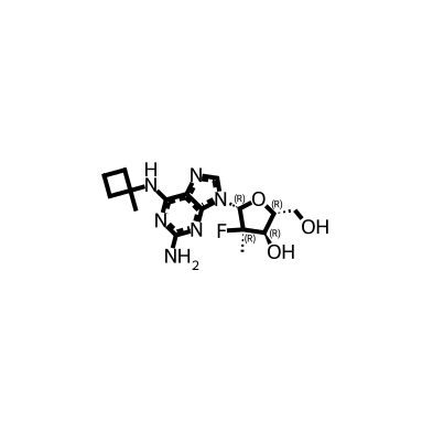 CC1(Nc2nc(N)nc3c2ncn3[C@@H]2O[C@H](CO)[C@@H](O)[C@@]2(C)F)CCC1